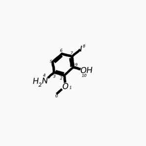 COc1c(N)ccc(I)c1O